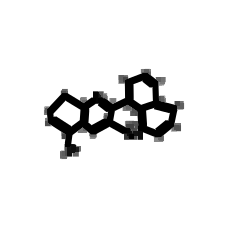 CC(C)C1=CCCc2nc3c(cc21)Nc1cccc2cccc-3c12